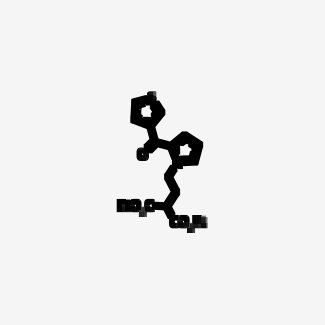 CCOC(=O)C(CCn1cccc1C(=O)c1ccsc1)C(=O)OCC